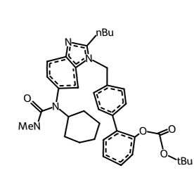 CCCCc1nc2ccc(N(C(=O)NC)C3CCCCC3)cc2n1Cc1ccc(-c2ccccc2OC(=O)OC(C)(C)C)cc1